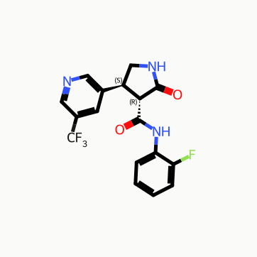 O=C1NC[C@H](c2cncc(C(F)(F)F)c2)[C@H]1C(=O)Nc1ccccc1F